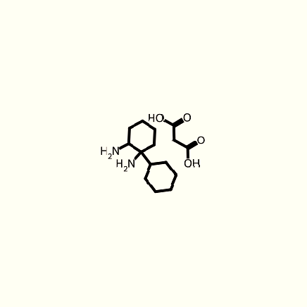 NC1CCCCC1(N)C1CCCCC1.O=C(O)CC(=O)O